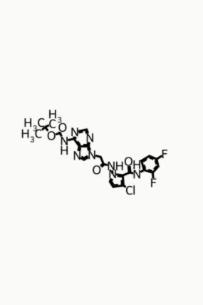 CC(C)(C)OC(=O)Nc1ncnc2c1ncn2CC(=O)Nn1ccc(Cl)c1C(=O)Nc1ccc(F)cc1F